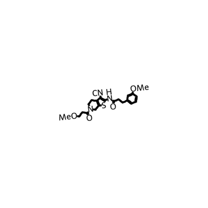 COCCC(=O)N1CCc2c(sc(NC(=O)CCc3cccc(OC)c3)c2C#N)C1